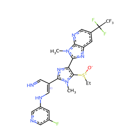 CC[S+]([O-])c1c(-c2nc3cc(C(F)(F)C(F)(F)F)cnc3n2C)nc(/C(C=N)=C/Nc2cncc(F)c2)n1C